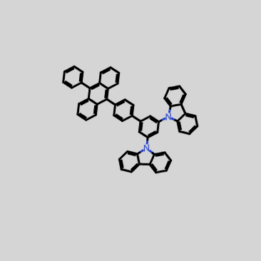 c1ccc(-c2c3ccccc3c(-c3ccc(-c4cc(-n5c6ccccc6c6ccccc65)cc(-n5c6ccccc6c6ccccc65)c4)cc3)c3ccccc23)cc1